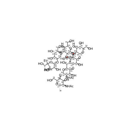 CCC(CO)(CO)O[C@@H](OC1C(O)[C@H](O)C(CO)O[C@@H]1OCC1O[C@@H](O[C@@H]2C(CO)O[C@@H](O[C@@H]3C(CO)O[C@@H](C)C(NC(C)=O)C3O)C(NC(C)=O)C2O)C(O)C(O[C@H]2OC(CO)[C@@H](O)C(O)C2O[C@@H]2OC(CO)[C@@H](O)C(O)C2NC(C)=O)[C@@H]1O)C(O)NC(C)=O